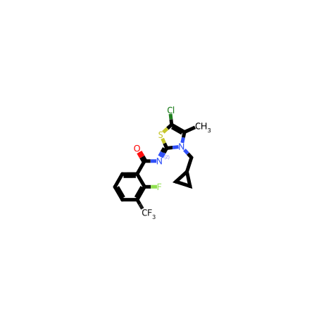 Cc1c(Cl)s/c(=N\C(=O)c2cccc(C(F)(F)F)c2F)n1CC1CC1